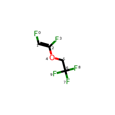 FC=C(F)OCC(F)(F)F